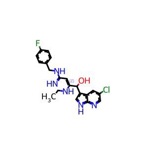 CCN/C(=C\C(=N)NCc1ccc(F)cc1)C(O)c1c[nH]c2ncc(Cl)cc12